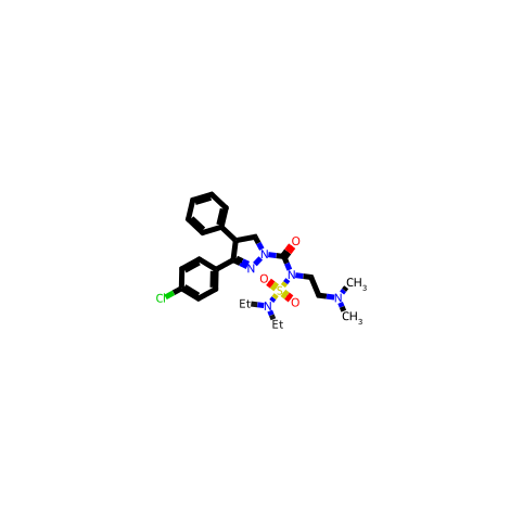 CCN(CC)S(=O)(=O)N(CCN(C)C)C(=O)N1CC(c2ccccc2)C(c2ccc(Cl)cc2)=N1